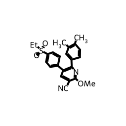 CCS(=O)(=O)c1ccc(-c2cc(C#N)c(OC)nc2-c2ccc(C)c(C)c2)cc1